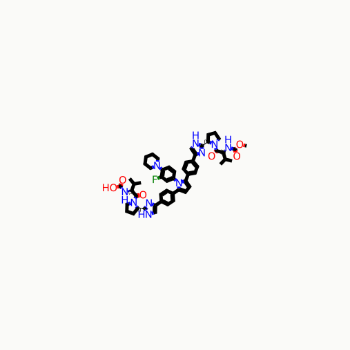 COC(=O)N[C@H](C(=O)N1CCC[C@H]1c1nc(-c2ccc(-c3ccc(-c4ccc(-c5c[nH]c([C@@H]6CCCN6C(=O)[C@@H](NC(=O)O)C(C)C)n5)cc4)n3-c3ccc(N4CCCCC4)c(F)c3)cc2)c[nH]1)C(C)C